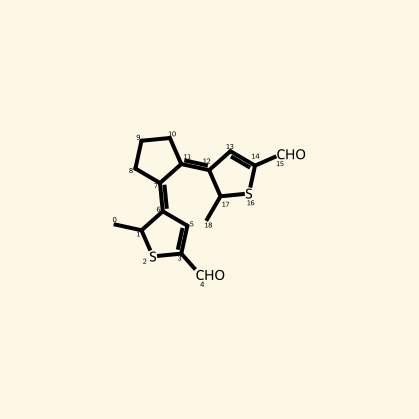 CC1SC(C=O)=CC1=C1CCCC1=C1C=C(C=O)SC1C